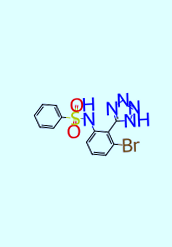 O=S(=O)(Nc1cccc(Br)c1-c1nnn[nH]1)c1ccccc1